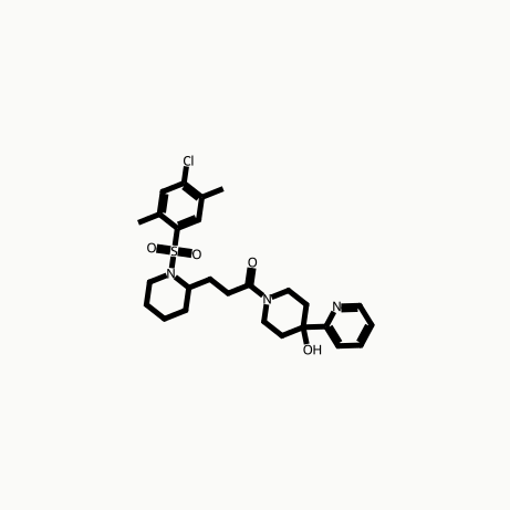 Cc1cc(S(=O)(=O)N2CCCCC2CCC(=O)N2CCC(O)(c3ccccn3)CC2)c(C)cc1Cl